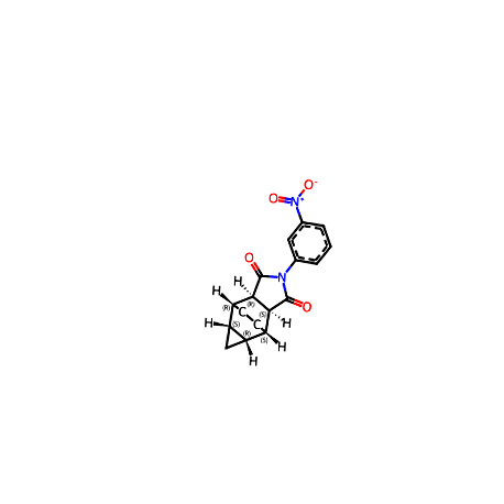 O=C1[C@@H]2[C@@H]3CC[C@@H]([C@@H]4C[C@@H]43)[C@@H]2C(=O)N1c1cccc([N+](=O)[O-])c1